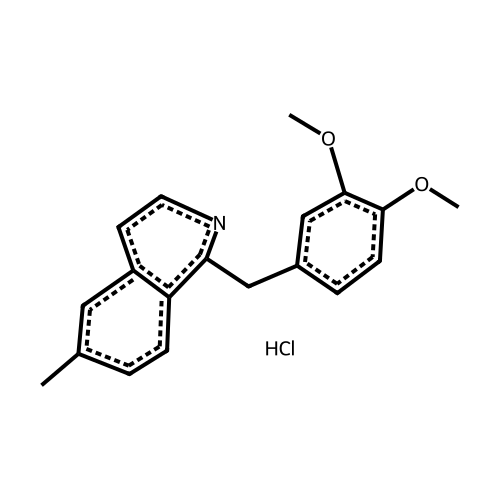 COc1ccc(Cc2nccc3cc(C)ccc23)cc1OC.Cl